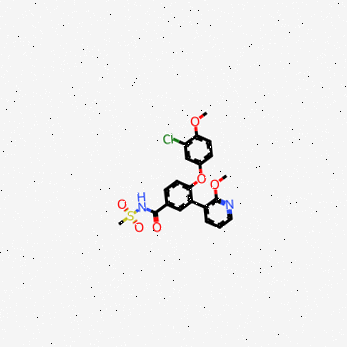 COc1ccc(Oc2ccc(C(=O)NS(C)(=O)=O)cc2-c2cccnc2OC)cc1Cl